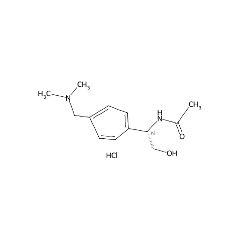 CC(=O)N[C@H](CO)c1ccc(CN(C)C)cc1.Cl